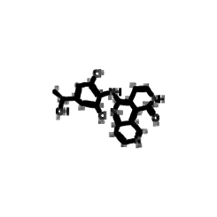 C[C@H](O)c1cc(Cl)c(Nc2nc3ccncc3c3c(=O)[nH]ccc23)c(Cl)c1